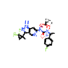 CC(NC(=O)N(OC(=O)C(F)(F)F)c1cc2[nH]nc(C3(C)CC3(F)F)c2cn1)c1ccc(F)cc1